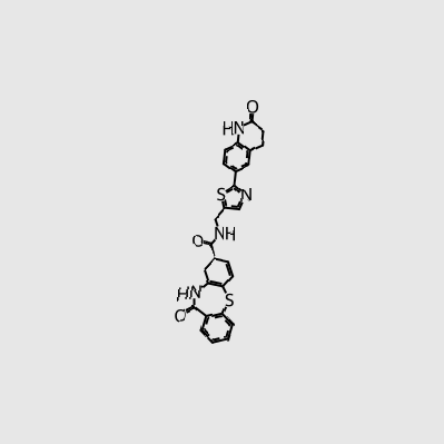 O=C1CCc2cc(-c3ncc(CNC(=O)[C@H]4C=CC5=C(C4)NC(=O)c4ccccc4S5)s3)ccc2N1